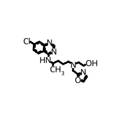 CC(CCCN(CCO)Cc1ncco1)Nc1ncnc2cc(Cl)ccc12